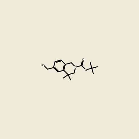 CC(C)(C)OC(=O)N1Cc2ccc(CBr)cc2C(C)(C)C1